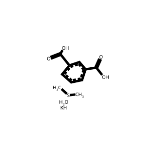 CSC.O.O=C(O)c1cccc(C(=O)O)c1.[KH]